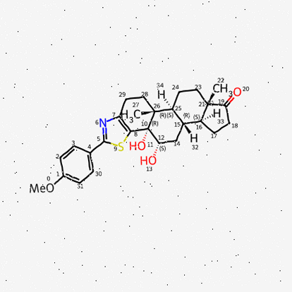 COc1ccc(-c2nc3c(s2)[C@]2(O)[C@@H](O)C[C@H]4[C@@H]5CCC(=O)[C@@]5(C)CC[C@@H]4[C@@]2(C)CC3)cc1